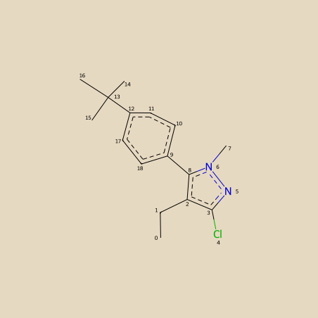 CCc1c(Cl)nn(C)c1-c1ccc(C(C)(C)C)cc1